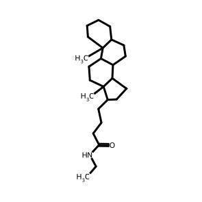 CCNC(=O)CCCC1CCC2C3CCC4CCCCC4(C)C3CCC12C